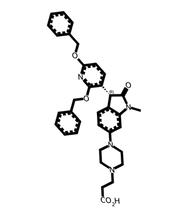 CN1C(=O)[C@@H](c2ccc(OCc3ccccc3)nc2OCc2ccccc2)c2ccc(N3CCN(CCC(=O)O)CC3)cc21